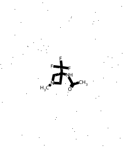 CC(=O)NC1(C(F)(F)F)CN(C)C1